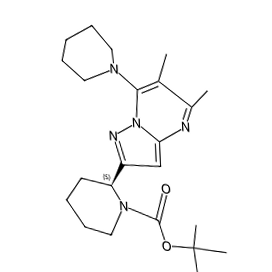 Cc1nc2cc([C@@H]3CCCCN3C(=O)OC(C)(C)C)nn2c(N2CCCCC2)c1C